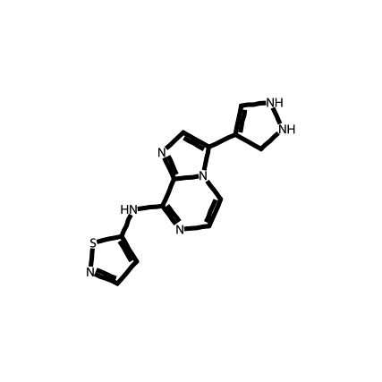 C1=C(c2cnc3c(Nc4ccns4)nccn23)CNN1